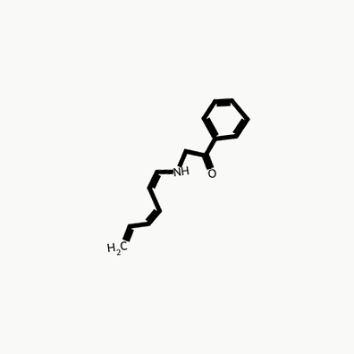 C=C/C=C\C=C/NCC(=O)c1ccccc1